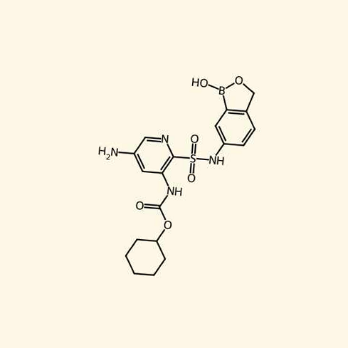 Nc1cnc(S(=O)(=O)Nc2ccc3c(c2)B(O)OC3)c(NC(=O)OC2CCCCC2)c1